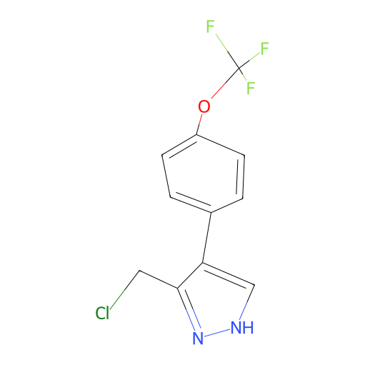 FC(F)(F)Oc1ccc(-c2c[nH]nc2CCl)cc1